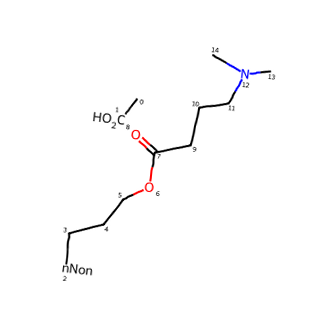 CC(=O)O.CCCCCCCCCCCCOC(=O)CCCN(C)C